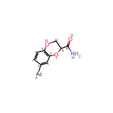 CC(=O)c1ccc2c(c1)OC(C(N)=O)CO2